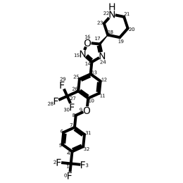 FC(F)(F)c1ccc(COc2ccc(-c3noc([C@@H]4CCCNC4)n3)cc2C(F)(F)F)cc1